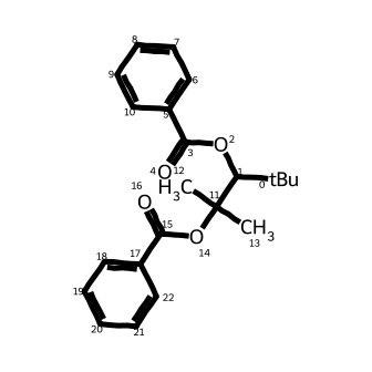 CC(C)(C)C(OC(=O)c1ccccc1)C(C)(C)OC(=O)c1ccccc1